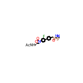 CC(=O)NC[C@H]1CN(c2ccc(-c3ccc(C[S+]([O-])c4nncs4)cc3)c(F)c2)C(=O)O1